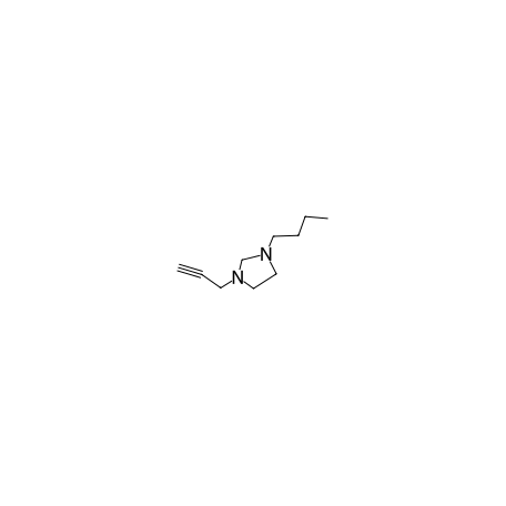 C#CCN1CCN(CCCC)C1